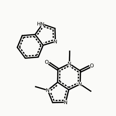 Cn1c(=O)c2c(ncn2C)n(C)c1=O.c1ccc2[nH]cnc2c1